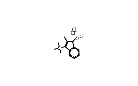 CC1=C([Si](C)(C)C)c2ccccc2[CH]1[Zr+2].[Cl-].[Cl-]